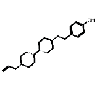 C=CC[C@H]1CC[C@H]([C@H]2CC[C@H](CCc3ccc(O)cc3)CC2)CC1